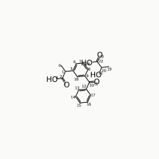 CC(C(=O)O)c1cccc(C(=O)c2ccccc2)c1.CC(O)C(=O)O